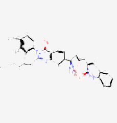 CC(=O)CCCCc1nc2cc(-c3cc(Cc4cc5ccccc5[nH]c4=O)on3)ccc2c(=O)n1-c1ccc(F)cc1